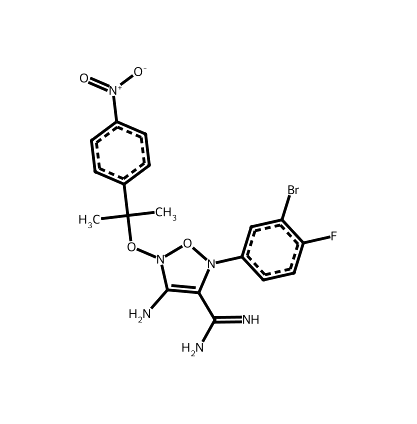 CC(C)(ON1ON(c2ccc(F)c(Br)c2)C(C(=N)N)=C1N)c1ccc([N+](=O)[O-])cc1